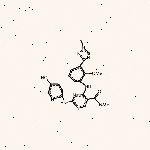 CNC(=O)c1cnc(Nc2ccc(C#N)cn2)nc1Nc1cccc(-c2ncn(C)n2)c1OC